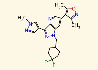 Cc1noc(C)c1-c1cnc2c(-c3cnn(C)c3)nn(CC3CCC(F)(F)CC3)c2c1